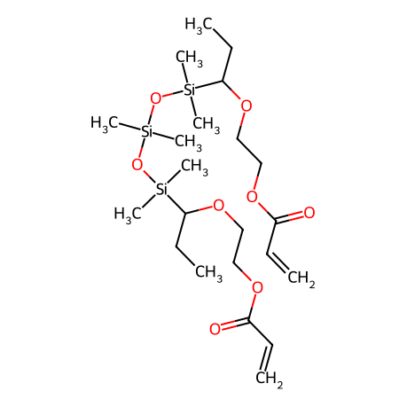 C=CC(=O)OCCOC(CC)[Si](C)(C)O[Si](C)(C)O[Si](C)(C)C(CC)OCCOC(=O)C=C